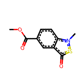 COC(=O)c1ccc2c(c1)c(=O)sn2C